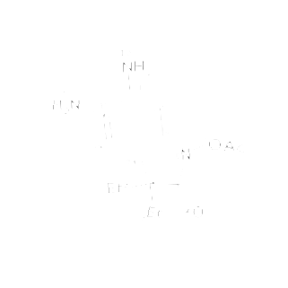 CCC1(CC)C(=O)N(OC(C)=O)c2cc(N)c(N)cc21